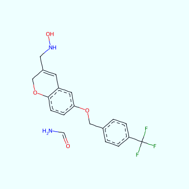 NC=O.ONCC1=Cc2cc(OCc3ccc(C(F)(F)F)cc3)ccc2OC1